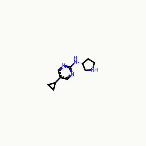 c1nc(N[C@@H]2CCNC2)ncc1C1CC1